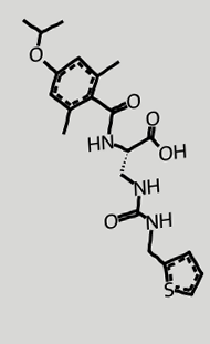 Cc1cc(OC(C)C)cc(C)c1C(=O)N[C@@H](CNC(=O)NCc1cccs1)C(=O)O